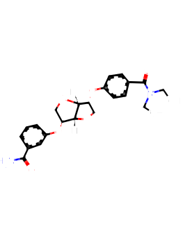 CCN(CC)C(=O)c1ccc(O[C@@H]2CO[C@H]3[C@@H]2OC[C@@H]3Oc2cccc(C(N)=O)c2)cc1